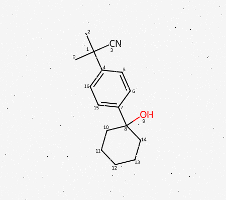 CC(C)(C#N)c1ccc(C2(O)CCCCC2)cc1